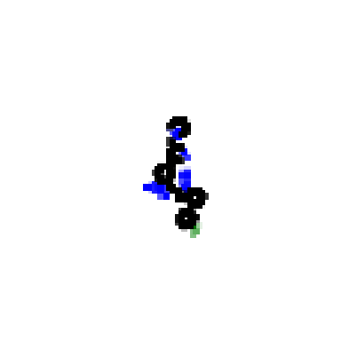 Fc1cccc(-c2cccc3[nH]c(-c4n[nH]c5ccc(-c6cncc(CN7CCCCC7)c6)cc45)cc23)c1